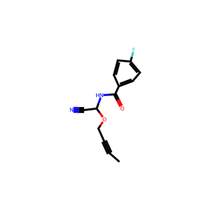 CC#CCOC(C#N)NC(=O)c1ccc(F)cc1